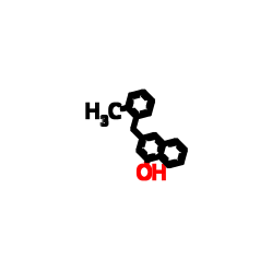 Cc1ccccc1Cc1cc(O)c2ccccc2c1